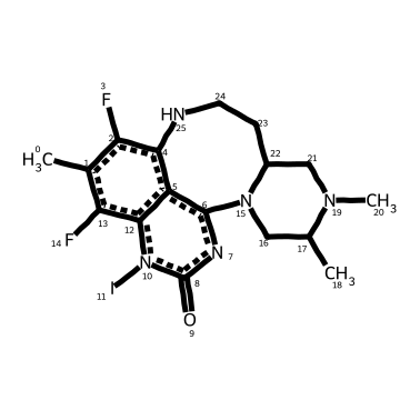 Cc1c(F)c2c3c(nc(=O)n(I)c3c1F)N1CC(C)N(C)CC1CCN2